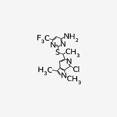 Cc1cn(C)c2c(Cl)nc(C(C)Sc3nc(N)cc(C(F)(F)F)n3)cc12